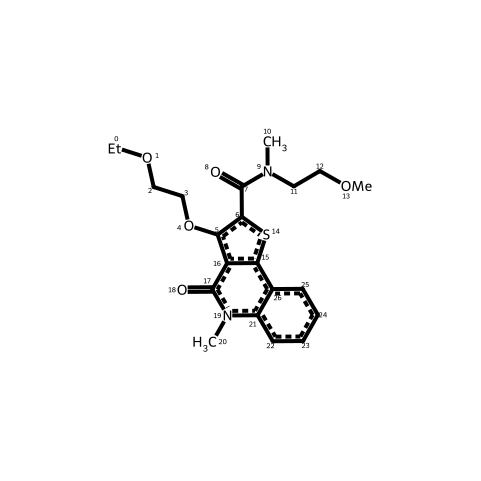 CCOCCOc1c(C(=O)N(C)CCOC)sc2c1c(=O)n(C)c1ccccc21